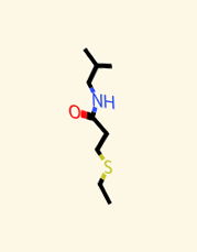 CCSCCC(=O)NCC(C)C